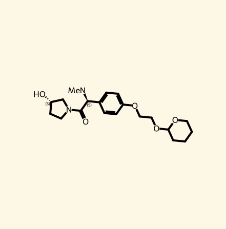 CN[C@H](C(=O)N1CC[C@H](O)C1)c1ccc(OCCOC2CCCCO2)cc1